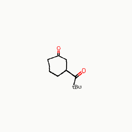 CC(C)(C)C(=O)C1CCCC(=O)C1